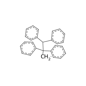 [CH2]C(c1ccccc1)(c1ccccc1)C(c1ccccc1)c1ccccc1